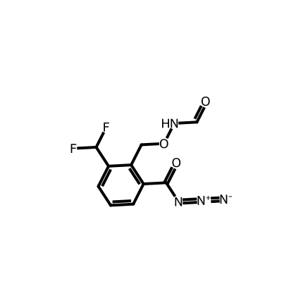 [N-]=[N+]=NC(=O)c1cccc(C(F)F)c1CONC=O